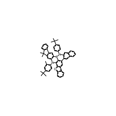 Cc1cc(C(C)(C)C)ccc1N1c2cc3c(cc2B2c4c(cc5c(oc6ccccc65)c41)-c1cc4ccccc4cc1N2c1ccc(C(C)(C)C)cc1)-c1ccccc1C3(C)C